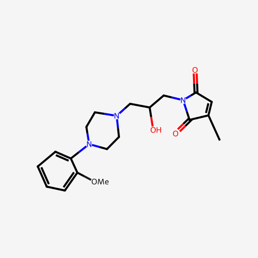 COc1ccccc1N1CCN(CC(O)CN2C(=O)C=C(C)C2=O)CC1